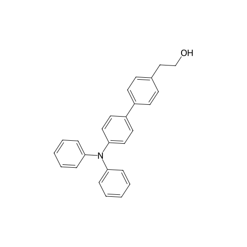 OCCc1ccc(-c2ccc(N(c3ccccc3)c3ccccc3)cc2)cc1